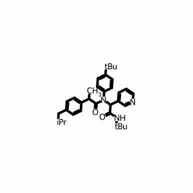 CC(C)Cc1ccc(C(C)C(=O)N(c2ccc(C(C)(C)C)cc2)C(C(=O)NC(C)(C)C)c2cccnc2)cc1